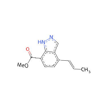 CC=Cc1ccc(C(=O)OC)c2[nH]ncc12